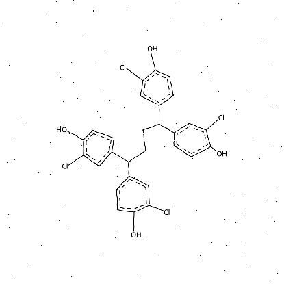 Oc1ccc(C(CCC(c2ccc(O)c(Cl)c2)c2ccc(O)c(Cl)c2)c2ccc(O)c(Cl)c2)cc1Cl